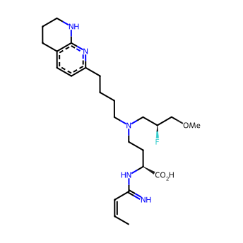 C/C=C\C(=N)N[C@@H](CCN(CCCCc1ccc2c(n1)NCCC2)C[C@H](F)COC)C(=O)O